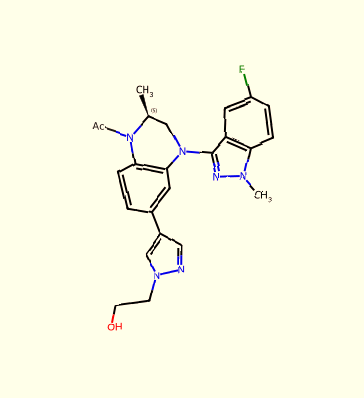 CC(=O)N1c2ccc(-c3cnn(CCO)c3)cc2N(c2nn(C)c3ccc(F)cc23)C[C@@H]1C